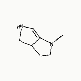 CN1CCC2CNC=C21